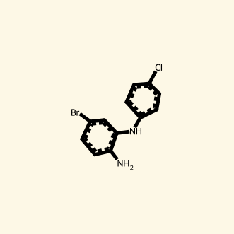 Nc1ccc(Br)cc1Nc1ccc(Cl)cc1